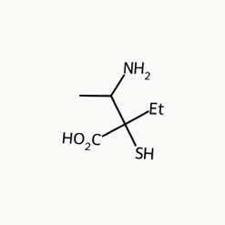 CCC(S)(C(=O)O)C(C)N